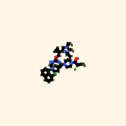 C=C(F)C(=O)N1CCN(C2=C(/C)CCN(c3cccc4cccc(Cl)c34)CN/C(OCC3(CCN(C)C)CC3)=N\2)C[C@@H]1CC#N